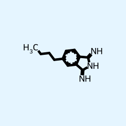 CCCCc1ccc2c(c1)C(=N)NC2=N